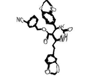 N#Cc1cccc(COC(=O)C2=C(CCc3ccc4c(c3)OCO4)NC(=O)NC2c2ccc3c(c2)OCCO3)c1